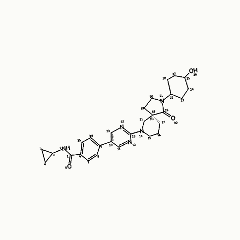 O=C(NC1CC1)c1ccc(-c2cnc(N3CCC[C@@]4(CCN(C5CCC(O)CC5)C4=O)C3)nc2)cc1